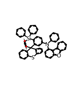 c1ccc(N(c2ccc3c(c2)C2(c4ccccc4Sc4ccccc42)c2ccccc2[Si]3(c2ccccc2)c2ccccc2)c2cccc3oc4ccccc4c23)cc1